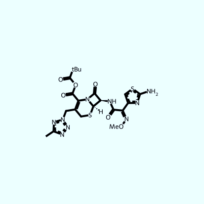 CO/N=C(\C(=O)N[C@@H]1C(=O)N2C(C(=O)OC(=O)C(C)(C)C)=C(Cn3nnc(C)n3)CS[C@H]12)c1csc(N)n1